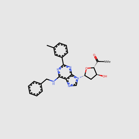 CNC(=O)[C@H]1O[C@@H](n2cnc3c(NCc4ccccc4)nc(-c4cccc(C)c4)nc32)C[C@@H]1O